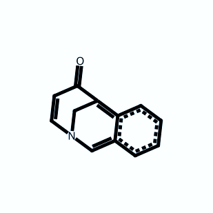 O=C1C=CN2C=c3ccccc3=C1C2